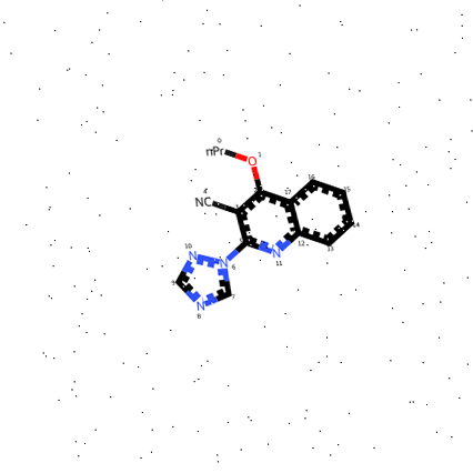 CCCOc1c(C#N)c(-n2cncn2)nc2ccccc12